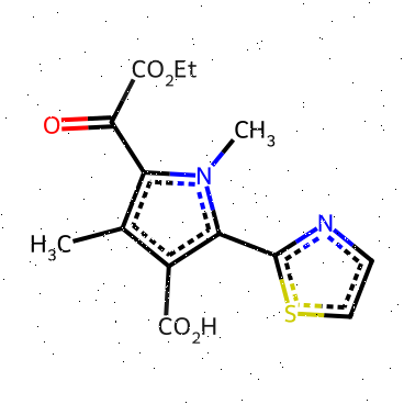 CCOC(=O)C(=O)c1c(C)c(C(=O)O)c(-c2nccs2)n1C